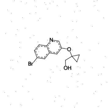 OCC1(Oc2cnc3ccc(Br)cc3c2)CC1